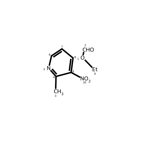 CCOC=O.Cc1ncccc1[N+](=O)[O-]